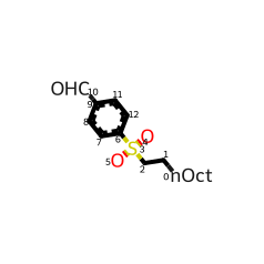 CCCCCCCCCCS(=O)(=O)c1ccc(C=O)cc1